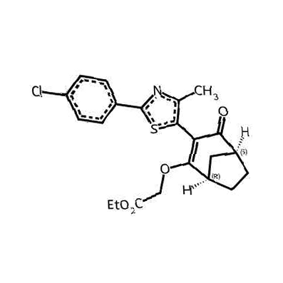 CCOC(=O)COC1=C(c2sc(-c3ccc(Cl)cc3)nc2C)C(=O)[C@H]2CC[C@@H]1C2